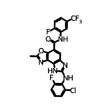 Cc1nc2c(o1)c(C(=O)Nc1cc(C(F)(F)F)ccc1F)cc1nc(Nc3c(F)cccc3Cl)[nH]c12